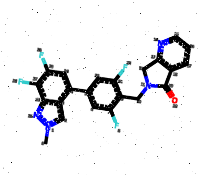 Cn1cc2c(-c3cc(F)c(CN4Cc5ncccc5C4=O)c(F)c3)cc(F)c(F)c2n1